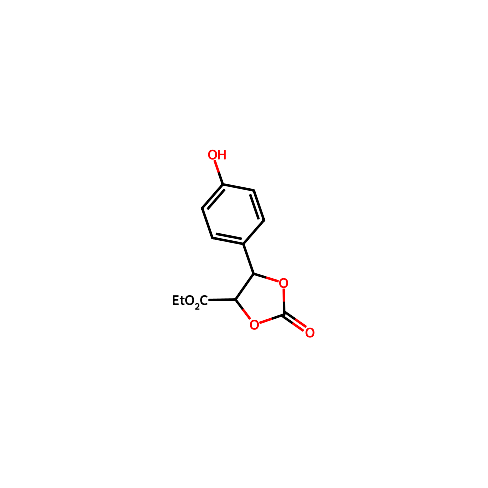 CCOC(=O)C1OC(=O)OC1c1ccc(O)cc1